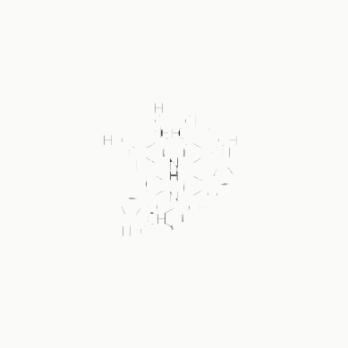 Cc1cc2c(cc1N1c3cc4oc5ccccc5c4c(-c4cc5c(cc4Nc4ccc6c(c4)C(C)(C)CCC6(C)C)C(C)(C)CCC5(C)C)c3Bc3ccc4c(oc5ccccc54)c31)C(C)(C)CCC2